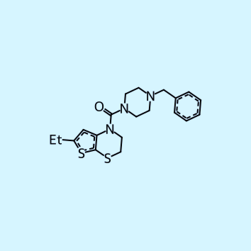 CCc1cc2c(s1)SCCN2C(=O)N1CCN(Cc2ccccc2)CC1